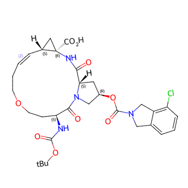 CC(C)(C)OC(=O)N[C@H]1CCOCC/C=C\[C@@H]2C[C@@]2(C(=O)O)NC(=O)[C@@H]2C[C@@H](OC(=O)N3Cc4cccc(Cl)c4C3)CN2C1=O